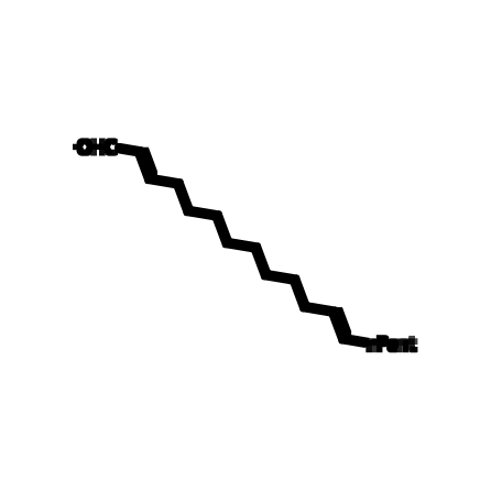 CCCCCC=CCCCCCCCCC=C[C]=O